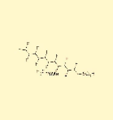 CNC.O=S(=O)(O)CC(F)C(F)C(F)C(F)C(F)C(F)C(F)C(F)C(F)C(F)C(F)F